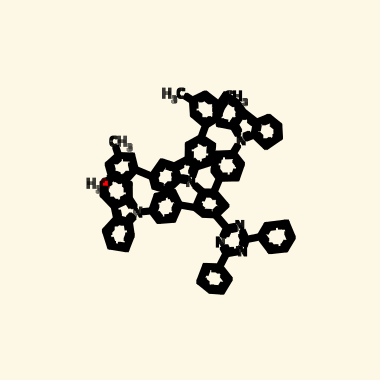 Cc1cc(C)cc(-c2ccc3c(c2)c2cc(-c4cc(C)cc(C)c4)ccc2n3-c2c(-c3ccc(-n4c5ccccc5c5ccccc54)cc3)cc(-c3nc(-c4ccccc4)nc(-c4ccccc4)n3)cc2-c2ccc(-n3c4ccccc4c4ccccc43)cc2)c1